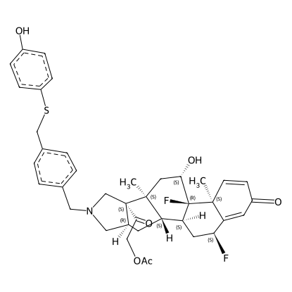 CC(=O)OCC(=O)[C@@]12CN(Cc3ccc(CSc4ccc(O)cc4)cc3)C[C@@H]1C[C@H]1[C@@H]3C[C@H](F)C4=CC(=O)C=C[C@]4(C)[C@@]3(F)[C@@H](O)C[C@@]12C